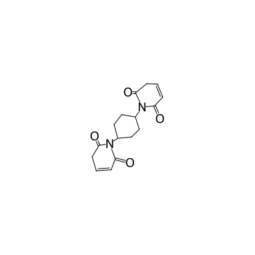 O=C1C=CCC(=O)N1C1CCC(N2C(=O)C=CCC2=O)CC1